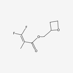 CC(C(=O)OCC1CCO1)=C(F)F